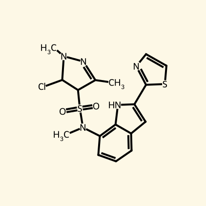 CC1=NN(C)C(Cl)C1S(=O)(=O)N(C)c1cccc2cc(-c3nccs3)[nH]c12